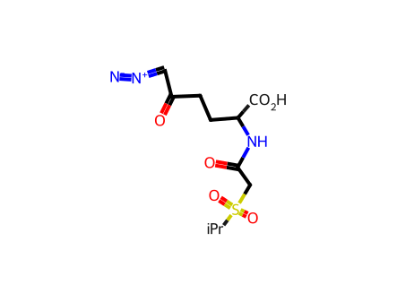 CC(C)S(=O)(=O)CC(=O)NC(CCC(=O)C=[N+]=[N-])C(=O)O